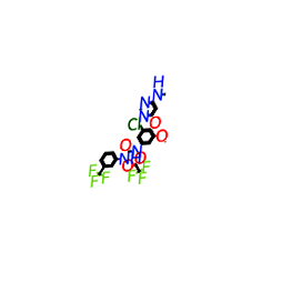 CNc1cc(Oc2c(Cl)cc(N(OC(=O)C(F)(F)F)C(=O)Nc3cccc(C(F)(F)F)c3)cc2OC)ncn1